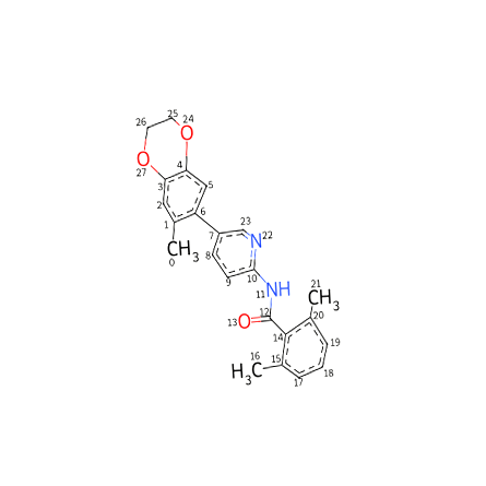 Cc1cc2c(cc1-c1ccc(NC(=O)c3c(C)cccc3C)nc1)OCCO2